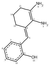 NC1=C(N)C(=Cc2ccccc2O)CCC1